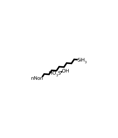 CCCCCCCCCCCCCCCCCC[SiH3].O=S(=O)(O)O